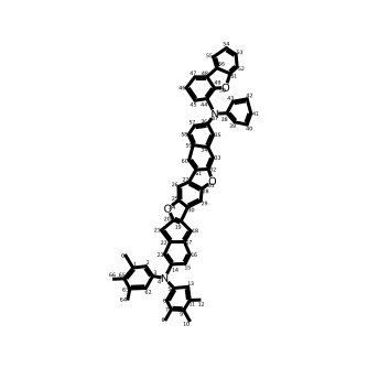 Cc1cc(N(c2cc(C)c(C)c(C)c2)c2ccc3cc4c(cc3c2)oc2cc3c(cc24)oc2cc4cc(N(c5ccccc5)c5cccc6c5oc5ccccc56)ccc4cc23)cc(C)c1C